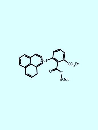 C1=Cc2cccc3cccc(c23)C1.CCCCCCCCOC(=O)c1c(CCCCCCCC)cccc1C(=O)OCC